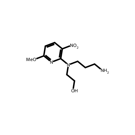 COc1ccc([N+](=O)[O-])c(N(CCO)CCCN)n1